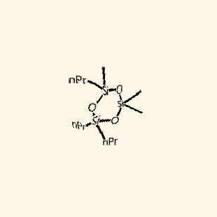 CCC[Si]1(C)O[Si](C)(C)O[Si](CCC)(CCC)O1